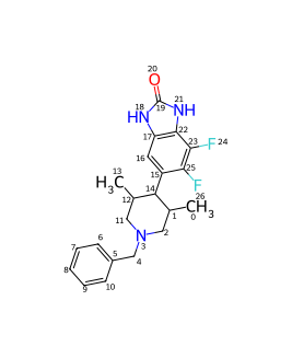 CC1CN(Cc2ccccc2)CC(C)C1c1cc2[nH]c(=O)[nH]c2c(F)c1F